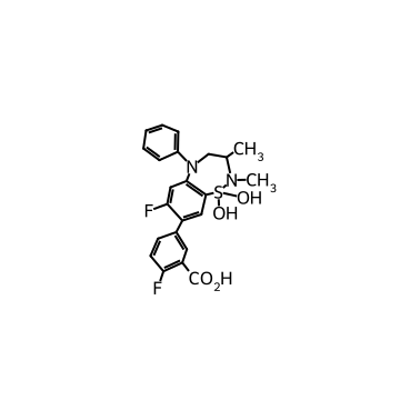 CC1CN(c2ccccc2)c2cc(F)c(-c3ccc(F)c(C(=O)O)c3)cc2S(O)(O)N1C